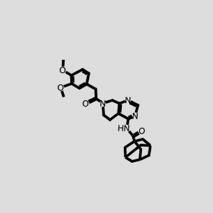 COc1ccc(CC(=O)N2CCc3c(ncnc3NC(=O)C34CC5CC(CC(C5)C3)C4)C2)cc1OC